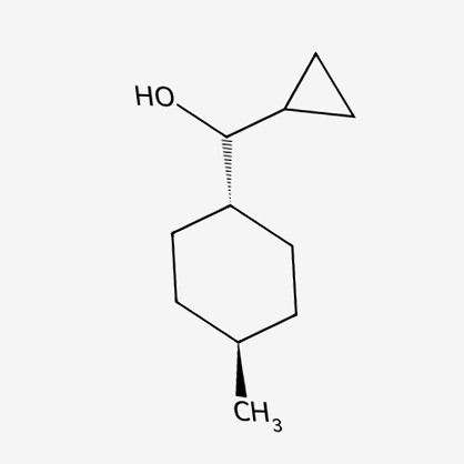 C[C@H]1CC[C@H](C(O)C2CC2)CC1